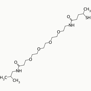 CC(C)CNC(=O)CCOCCOCCOCCOCCNC(=O)CCC(C)S